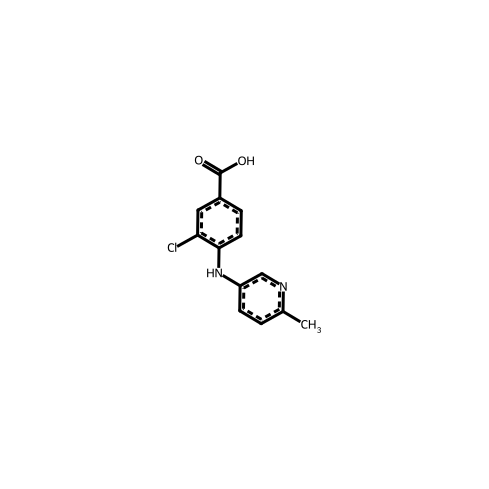 Cc1ccc(Nc2ccc(C(=O)O)cc2Cl)cn1